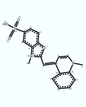 CN1C=C/C(=C\c2sc3ccc(S(=O)(=O)O)cc3[n+]2C)c2ccccc21